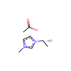 CC(=O)[O-].CC[n+]1ccn(C)c1.Cl